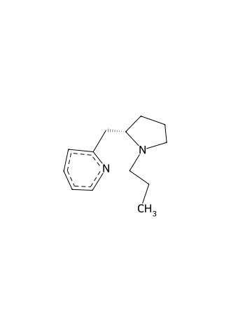 CCCN1CCC[C@H]1Cc1ccccn1